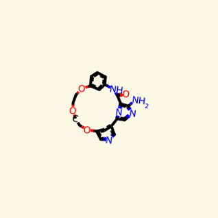 Nc1ncc2nc1C(=O)Nc1cccc(c1)OCCOCCOc1cncc-2c1